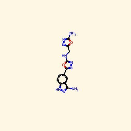 Nc1nnc(CNc2nnc(-c3ccc4[nH]nc(N)c4c3)o2)o1